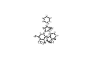 O=C(O)c1cc(F)cc(-c2nc(-c3ccccc3)[nH]c2-c2ccnc3[nH]ccc23)c1